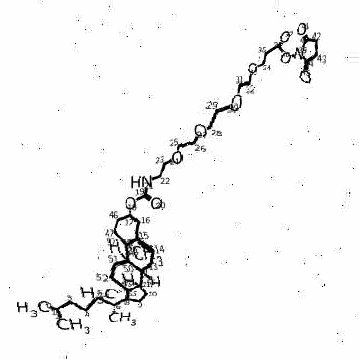 CC(C)CCC[C@@H](C)C1CC[C@H]2[C@H]3CC=C4C[C@@H](OC(=O)NCCOCCOCCOCCOCCC(=O)ON5C(=O)CCC5=O)CC[C@]4(C)[C@H]3CC[C@]12C